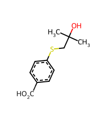 CC(C)(O)CSc1ccc(C(=O)O)cc1